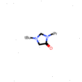 CC(C)N1CN(C(C)(C)C)CC1=O